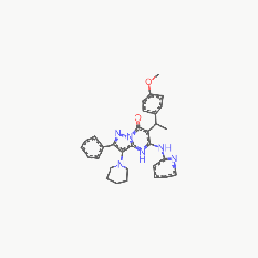 COc1ccc(C(C)c2c(Nc3ccccn3)[nH]c3c(N4CCCCC4)c(-c4ccccc4)nn3c2=O)cc1